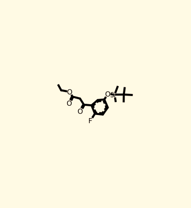 CCOC(=O)CC(=O)c1cc(O[Si](C)(C)C(C)(C)C)ccc1F